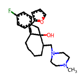 CN1CCN(CC2CCCCC(=Cc3ccco3)C2(O)Cc2ccc(F)cc2)CC1